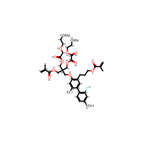 C=C(C)C(=O)OCCCc1cc(-c2ccc(CCCCCCCC)cc2F)c(CC)cc1OCC(COC(=O)COCCOC)(COC(=O)C(=C)C)COC(=O)C(=O)OCCOC